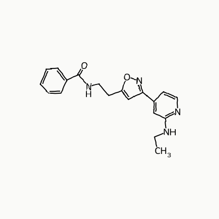 CCNc1cc(-c2cc(CCNC(=O)c3ccccc3)on2)ccn1